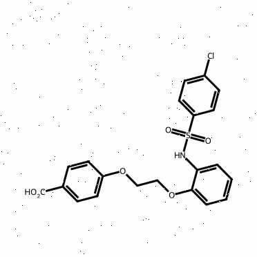 O=C(O)c1ccc(OCCOc2ccccc2NS(=O)(=O)c2ccc(Cl)cc2)cc1